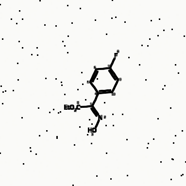 CCOC(=O)/C(=N\O)c1ccc(F)cc1